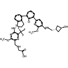 COc1nc(-c2cccc(-c3cccc4c3CC[C@@H]4Nc3nc(OC)c(CNCC(=O)O)nc3C(F)(F)F)c2Cl)ccc1CNC[C@H]1C[C@H](O)C1